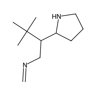 C=NCC(C1CCCN1)C(C)(C)C